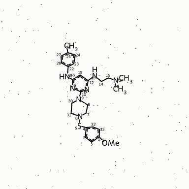 COc1ccc(SN2CCN(c3nc(NCCN(C)C)cc(Nc4ccc(C)cc4)n3)CC2)cc1